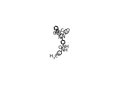 C[C@H]1COCCN1c1cc(CS(=O)(=O)c2ccccc2)nc(-c2ccc(NC(=O)NC3CCN(C)CC3)cc2)n1